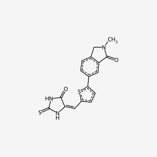 CN1Cc2ccc(-c3ccc(C=C4NC(=S)NC4=O)s3)cc2C1=O